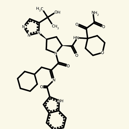 CC(C)(O)c1cnnn1[C@H]1C[C@@H](C(=O)NC2(C(=O)C(N)=O)CCOCC2)N(C(=O)/C(CC2CCCCC2)=N/C(=O)c2cc3ccccc3[nH]2)C1